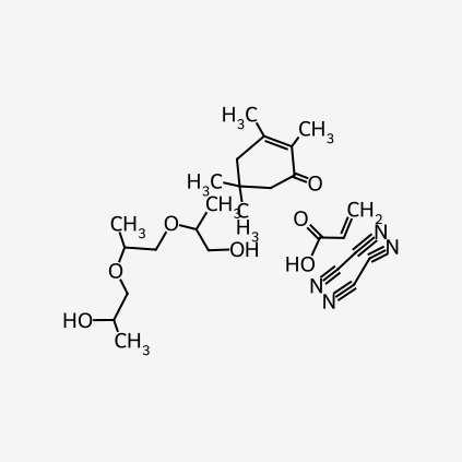 C=CC(=O)O.CC(O)COC(C)COC(C)CO.CC1=C(C)C(=O)CC(C)(C)C1.N#CC#N.N#CC#N